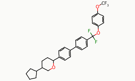 FC(F)(F)Oc1ccc(OC(F)(F)c2ccc(-c3ccc(C4CCC(C5CCCC5)CO4)cc3)cc2)cc1